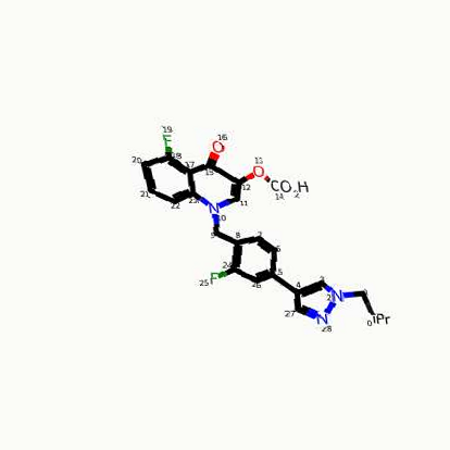 CC(C)Cn1cc(-c2ccc(Cn3cc(OC(=O)O)c(=O)c4c(F)cccc43)c(F)c2)cn1